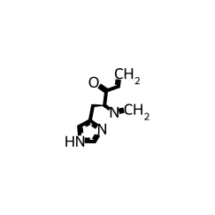 C=CC(=O)[C@H](Cc1c[nH]cn1)N=C